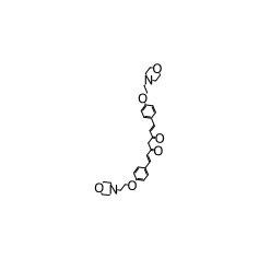 O=C(C=Cc1ccc(OCCN2CCOCC2)cc1)CC(=O)C=Cc1ccc(OCCN2CCOCC2)cc1